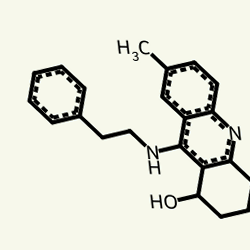 Cc1ccc2nc3c(c(NCCc4ccccc4)c2c1)C(O)CCC3